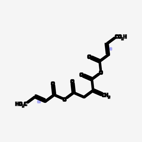 C=C(CC(=O)OC(=O)/C=C/C(=O)O)C(=O)OC(=O)/C=C/C(=O)O